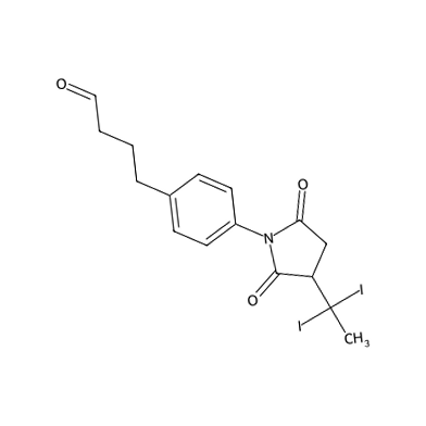 CC(I)(I)C1CC(=O)N(c2ccc(CCCC=O)cc2)C1=O